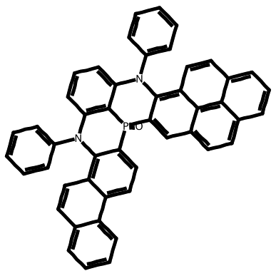 O=P12c3ccc4c(ccc5ccccc54)c3N(c3ccccc3)c3cccc(c31)N(c1ccccc1)c1c2cc2ccc3cccc4ccc1c2c34